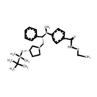 CCONC(=O)c1ccc(N(C)[C@H](CN2CC[C@H](O[Si](C)(C)C(C)(C)C)C2)c2ccccc2)cc1